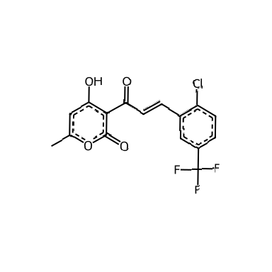 Cc1cc(O)c(C(=O)/C=C/c2cc(C(F)(F)F)ccc2Cl)c(=O)o1